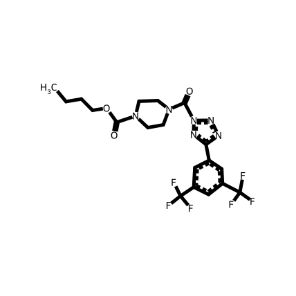 CCCCOC(=O)N1CCN(C(=O)n2nnc(-c3cc(C(F)(F)F)cc(C(F)(F)F)c3)n2)CC1